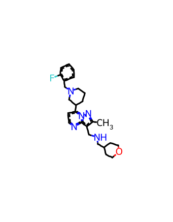 Cc1nn2c(C3CCCN(Cc4ccccc4F)C3)ccnc2c1CNCC1CCOCC1